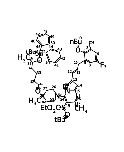 CCCCOc1c(F)cc(F)cc1CC=Cc1cc2nc(C)c([C@H](OC(C)(C)C)C(=O)OCC)c(N3CCC(C)(OCCCC[C@@H](C)O[Si](c4ccccc4)(c4ccccc4)C(C)(C)C)CC3)n2n1